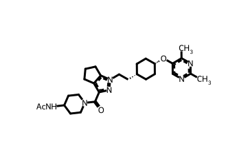 CC(=O)NC1CCN(C(=O)c2nn(CC[C@H]3CC[C@@H](Oc4cnc(C)nc4C)CC3)c3c2CCC3)CC1